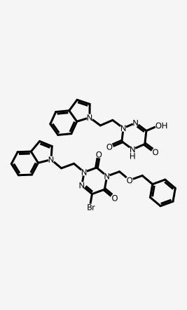 O=c1[nH]c(=O)n(CCn2ccc3ccccc32)nc1O.O=c1c(Br)nn(CCn2ccc3ccccc32)c(=O)n1COCc1ccccc1